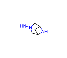 [NH]N1CC2CC(C1)N2